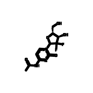 CC(=O)Nc1ccn(C2O[C@H](CO)[C@@H](O)C2(F)F)c(=O)n1